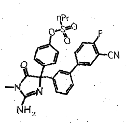 CCCS(=O)(=O)Oc1ccc(C2(c3cccc(-c4ccc(F)c(C#N)c4)c3)N=C(N)N(C)C2=O)cc1